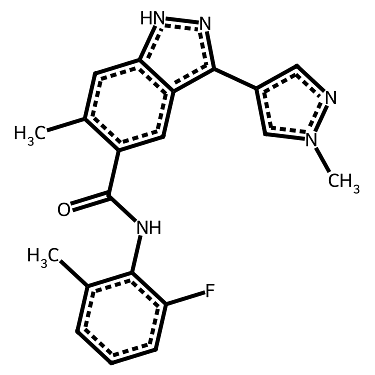 Cc1cc2[nH]nc(-c3cnn(C)c3)c2cc1C(=O)Nc1c(C)cccc1F